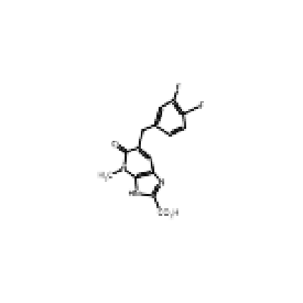 Cn1c(=O)c(Cc2ccc(F)c(F)c2)cc2nc(C(=O)O)[nH]c21